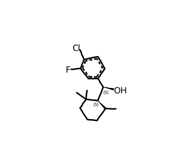 CC1CCCC(C)(C)[C@H]1[C@H](O)c1ccc(Cl)c(F)c1